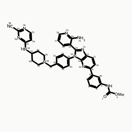 COC(=O)Nc1cccc(-c2ccc3nc(-c4cccnc4N)n(-c4ccc(CN5CCC(Nc6ccnc(C#N)n6)CC5)cc4)c3n2)c1